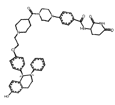 O=C1CCC(NC(=O)c2ccc(N3CCN(C(=O)C4CCN(CCOc5ccc([C@@H]6c7ccc(O)cc7CC[C@@H]6c6ccccc6)cc5)CC4)CC3)cc2)C(=O)N1